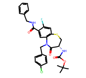 CC(C)(C)OC(=O)N[C@H]1CSc2cc(F)c(C(=O)NCc3ccccc3)cc2N(Cc2ccc(Cl)cc2)C1=O